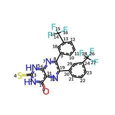 O=c1[nH]c(=S)[nH]c2nc(-c3cccc(C(F)(F)F)c3)c(-c3cccc(C(F)(F)F)c3)nc12